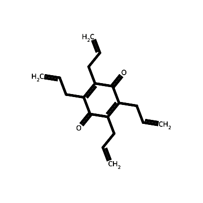 C=CCC1=C(CC=C)C(=O)C(CC=C)=C(CC=C)C1=O